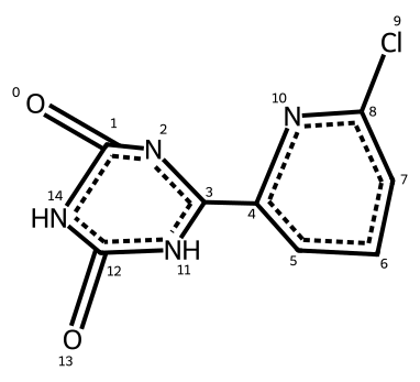 O=c1nc(-c2cccc(Cl)n2)[nH]c(=O)[nH]1